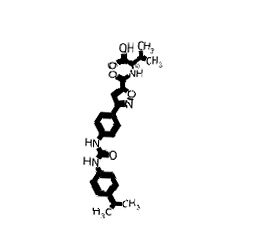 CC(C)c1ccc(NC(=O)Nc2ccc(-c3cc(C(=O)N[C@H](C(=O)O)C(C)C)on3)cc2)cc1